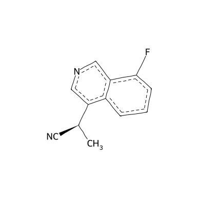 C[C@@H](C#N)c1cncc2c(F)cccc12